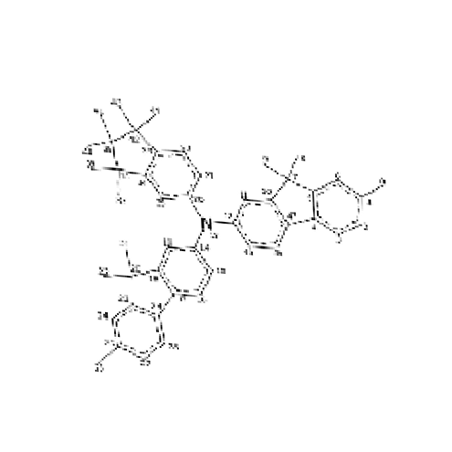 Cc1ccc2c(c1)C(C)(C)c1cc(N(c3ccc4c(c3)C(C)(C)c3cc(C)ccc3-4)c3ccc4c(c3)C(C)(C)C(C)(C)C4(C)C)ccc1-2